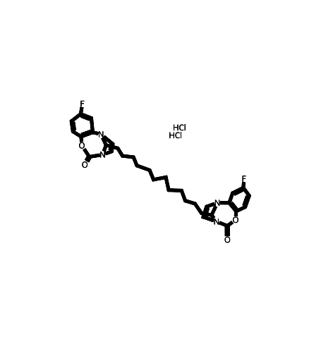 Cl.Cl.O=C1Oc2ccc(F)cc2N2C=CN1C2CCCCCCCCCCCCC1N2C=CN1c1cc(F)ccc1OC2=O